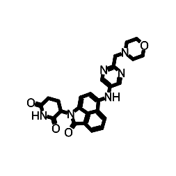 O=C1CCC(N2C(=O)c3cccc4c(Nc5cnc(CN6CCOCC6)nc5)ccc2c34)C(=O)N1